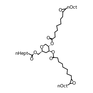 CCCCCCCCC1OC1CCCCCCCC(=O)O[C@H]1CO[C@H](COC(=O)CCCCCCC)C[C@@H]1OC(=O)CCCCCCCC1OC1CCCCCCCC